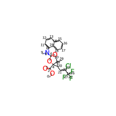 COC(=O)C1(OC(=O)N(C)c2cccc3ccccc23)C(C=C(Cl)C(F)(F)F)C1(C)C